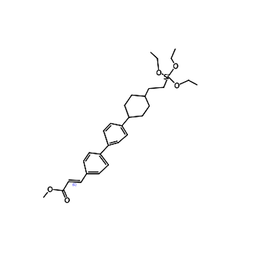 CCO[Si](CCC1CCC(c2ccc(-c3ccc(/C=C/C(=O)OC)cc3)cc2)CC1)(OCC)OCC